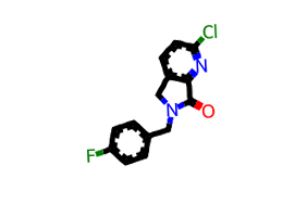 O=C1c2nc(Cl)ccc2CN1Cc1ccc(F)cc1